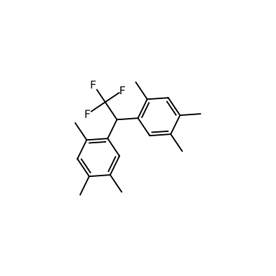 Cc1cc(C)c(C(c2cc(C)c(C)cc2C)C(F)(F)F)cc1C